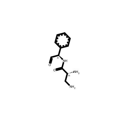 NC[C@@H](N)C(=O)N[C@@H](C=O)c1ccccc1